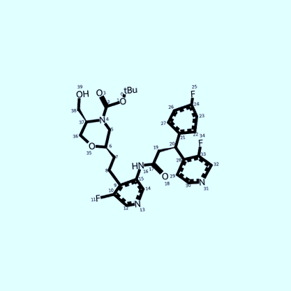 CC(C)(C)OC(=O)N1C[C@@H](CCc2c(F)cncc2NC(=O)C[C@@H](c2ccc(F)cc2)c2ccncc2F)OC[C@H]1CO